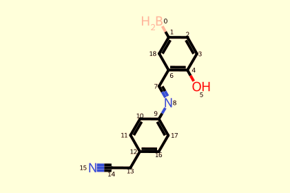 Bc1ccc(O)c(/C=N/c2ccc(CC#N)cc2)c1